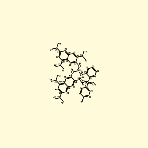 Cc1ccc(S(=O)(=O)c2ccccc2OP(Oc2cc3c(C(C)C)cc(C(C)C)cc3cc2C(C)C)Oc2cc3c(C(C)C)cc(C(C)C)cc3cc2C(C)C)cc1